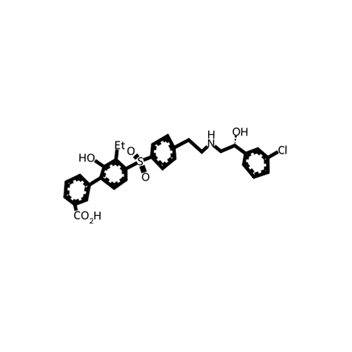 CCc1c(S(=O)(=O)c2ccc(CCNC[C@H](O)c3cccc(Cl)c3)cc2)ccc(-c2cccc(C(=O)O)c2)c1O